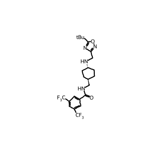 CC(C)(C)c1nc(CN[C@H]2CC[C@H](CNC(=O)c3cc(C(F)(F)F)cc(C(F)(F)F)c3)CC2)no1